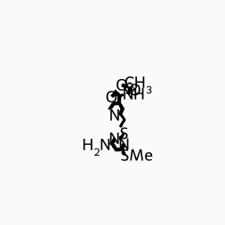 CSc1cc(N)nc(SCCc2cc3c(NS(C)(=O)=O)coc3cn2)n1